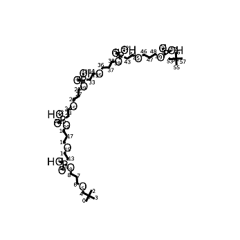 CC(C)(C)COCCCOP(=O)(O)CCOCCCOP(=O)(O)CCOCCCOP(=O)(O)CCOCCCOP(=O)(O)CCOCCCOP(=O)(O)CC(C)(C)C